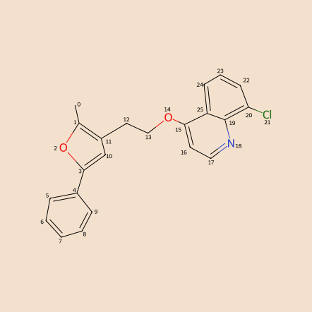 Cc1oc(-c2ccccc2)cc1CCOc1ccnc2c(Cl)cccc12